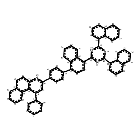 c1ccc(-c2cc(-c3ccc(-c4ccc(-c5nc(-c6cccc7ccccc67)nc(-c6cccc7ccccc67)n5)c5ccccc45)cc3)nc3ccc4ccccc4c23)cc1